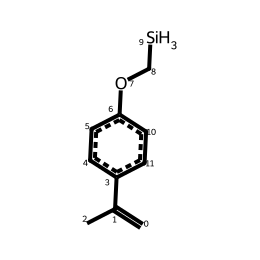 C=C(C)c1ccc(OC[SiH3])cc1